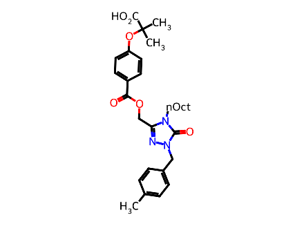 CCCCCCCCn1c(COC(=O)c2ccc(OC(C)(C)C(=O)O)cc2)nn(Cc2ccc(C)cc2)c1=O